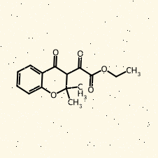 CCOC(=O)C(=O)C1C(=O)c2ccccc2OC1(C)C